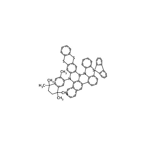 Cc1cc2c(cc1N1c3cc4c(cc3B3c5c(cc6ccccc6c51)-c1cccc5c1N3c1ccccc1[Si]51c3ccccc3-c3ccccc31)Sc1ccccc1S4)C(C)(C)CCC2(C)C